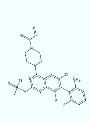 C=CC(=O)N1CCN(c2nc(CP(C)(=O)CC)nc3c(F)c(-c4c(F)cccc4OC)c(Cl)cc23)CC1